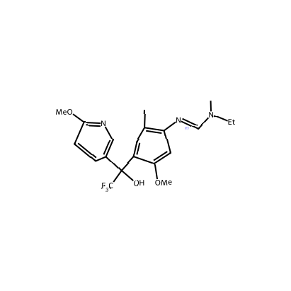 CCN(C)/C=N/c1cc(OC)c(C(O)(c2ccc(OC)nc2)C(F)(F)F)cc1C